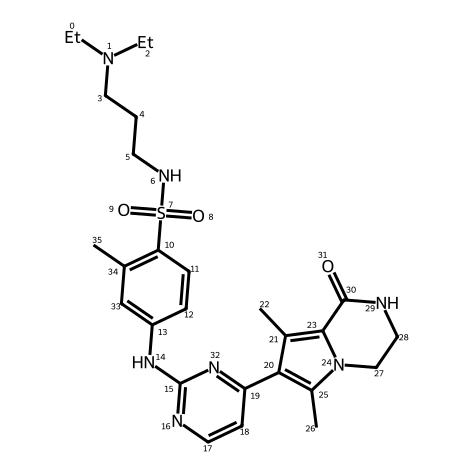 CCN(CC)CCCNS(=O)(=O)c1ccc(Nc2nccc(-c3c(C)c4n(c3C)CCNC4=O)n2)cc1C